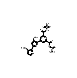 CCCCCCc1cc(-c2sccc2CCCCCC)sc1-c1cc(C(=O)N=[SH](=O)OC)nc(C(=O)NS(C)(=O)=O)c1